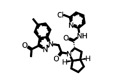 CC(=O)c1nn(CC(=O)N2[C@H](C(=O)Nc3cccc(Cl)n3)C[C@@H]3CCC[C@@H]32)c2ccc(C)cc12